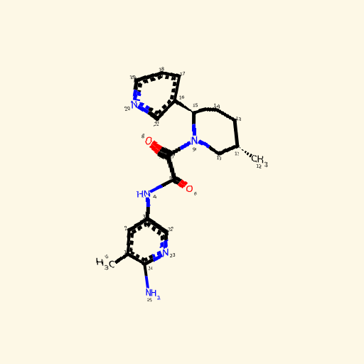 Cc1cc(NC(=O)C(=O)N2C[C@@H](C)CC[C@@H]2c2cccnc2)cnc1N